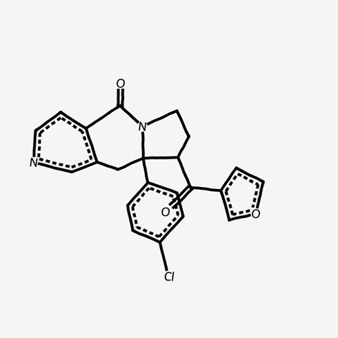 O=C(c1ccoc1)C1CCN2C(=O)c3ccncc3CC12c1ccc(Cl)cc1